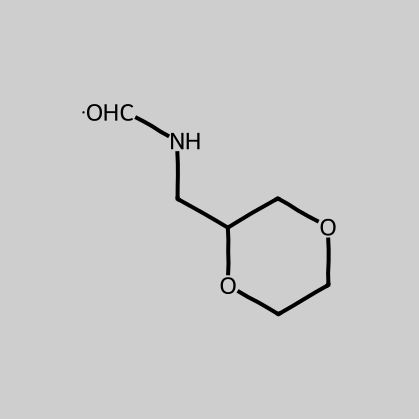 O=[C]NCC1COCCO1